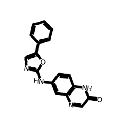 O=c1cnc2cc(Nc3ncc(-c4ccccc4)o3)ccc2[nH]1